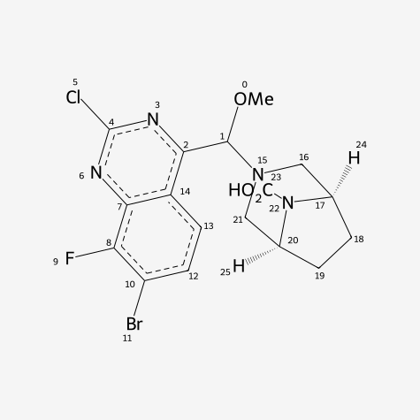 COC(c1nc(Cl)nc2c(F)c(Br)ccc12)N1C[C@H]2CC[C@@H](C1)N2C(=O)O